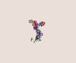 CC(C)(C)OC(=O)N(CCN1CCOCC1)c1cc(C2CCN(C(=O)c3ccc(C(F)(F)F)c(F)c3)CC2)no1